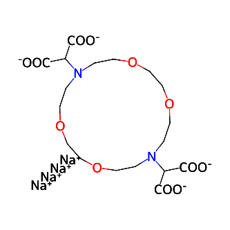 O=C([O-])C(C(=O)[O-])N1CCOCCOCCN(C(C(=O)[O-])C(=O)[O-])CCOCCOCC1.[Na+].[Na+].[Na+].[Na+]